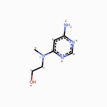 CN(CCO)c1cc(N)ncn1